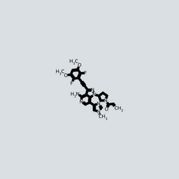 C=CC(=O)N1CCC(n2nc(C#Cc3c(F)c(OC)cc(OC)c3F)c3c(N)ncc(-c4cn(C)cn4)c32)C1